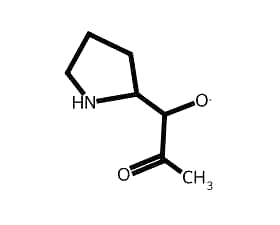 CC(=O)C([O])C1CCCN1